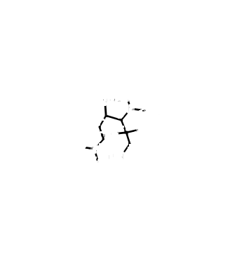 CNC(CCN(C)C)C(N(C)C)C(C)(C)CN